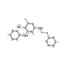 Cc1cc(NCCc2ccccc2)nc(Nc2ccccc2)c1C#N